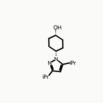 CC(C)c1cc(C(C)C)n([C@H]2CC[C@@H](O)CC2)n1